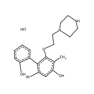 Cc1c(O)cc(C(C)C)c(-c2ccccc2O)c1OCCN1CCNCC1.Cl